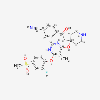 Cc1c(Oc2ccc(S(C)(=O)=O)cc2F)ncnc1OC1(CC(=O)c2ccc(C#N)cc2)CCNCC1